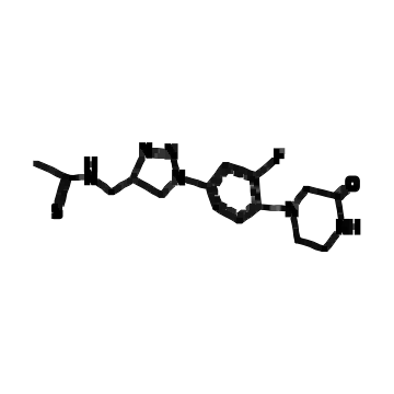 CC(=S)NCC1CN(c2ccc(N3CCNC(=O)C3)c(F)c2)N=N1